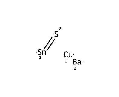 [Ba].[Cu].[S]=[Sn]